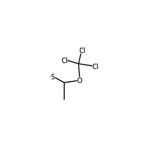 CC([S])OC(Cl)(Cl)Cl